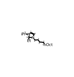 CCCCCCCCCCCCN1C=CN(C(C)C)C1CC